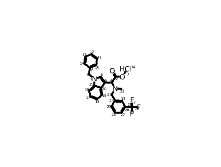 COC(=O)C(c1cn(Cc2ccccc2)c2ccccc12)N(C)Cc1cccc(C(F)(F)F)c1.Cl